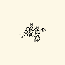 C[C@H]1CNCCCN1c1cc(-n2ccnc2)nc(C(=N)C2=C(O)[C@@]3(CCC2)CCCc2sc(N)c(C#N)c23)n1